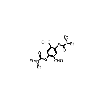 CCN(CC)C(=O)Sc1cc(C=O)c(SC(=O)N(CC)CC)cc1C=O